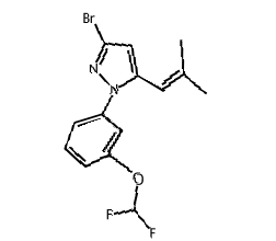 CC(C)=Cc1cc(Br)nn1-c1cccc(OC(F)F)c1